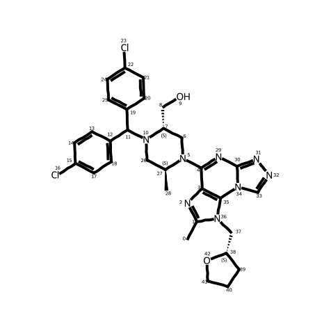 Cc1nc2c(N3C[C@@H](CO)N(C(c4ccc(Cl)cc4)c4ccc(Cl)cc4)C[C@@H]3C)nc3nncn3c2n1C[C@@H]1CCCO1